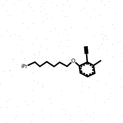 C#Cc1c(C)cccc1OCCCCCCC(C)C